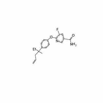 C=CCC(C)(CC)c1ccc(Oc2ncc(C(N)=O)cc2F)cc1